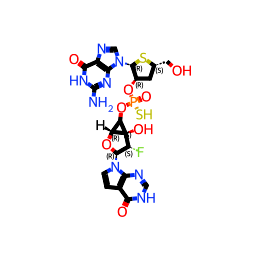 Nc1nc2c(ncn2[C@@H]2S[C@H](CO)C[C@H]2OP(=O)(S)OC2[C@H]3O[C@@H](n4ccc5c(=O)[nH]cnc54)[C@@H](F)[C@@]23O)c(=O)[nH]1